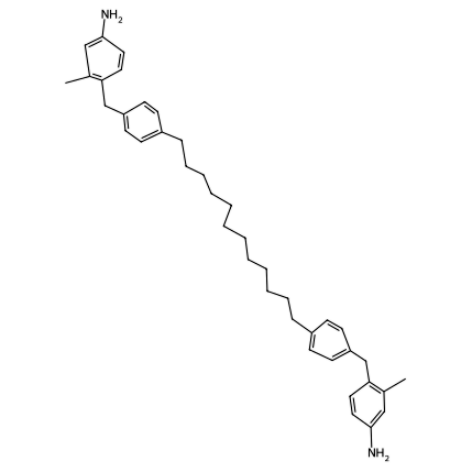 Cc1cc(N)ccc1Cc1ccc(CCCCCCCCCCCCc2ccc(Cc3ccc(N)cc3C)cc2)cc1